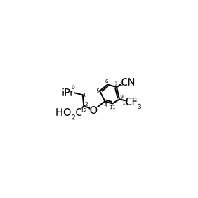 CC(C)CC(Oc1ccc(C#N)c(C(F)(F)F)c1)C(=O)O